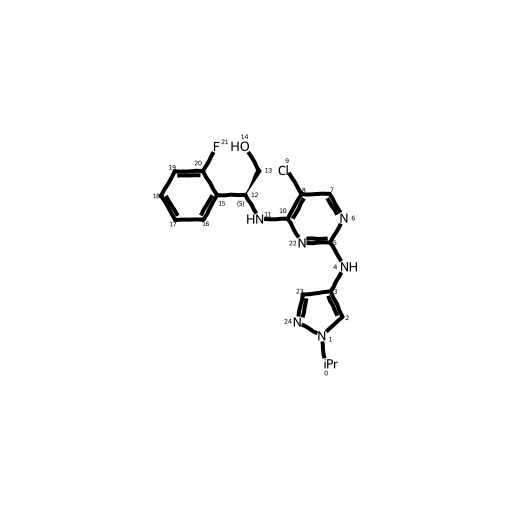 CC(C)n1cc(Nc2ncc(Cl)c(N[C@H](CO)c3ccccc3F)n2)cn1